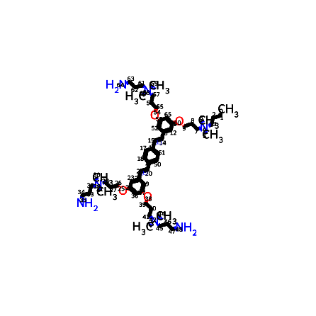 CCCC[N+](C)(C)CCCOc1cc(/C=C/c2ccc(/C=C/c3cc(OCCC[N+](C)(C)CCCN)cc(OCCC[N+](C)(C)CCCN)c3)cc2)cc(OCCC[N+](C)(C)CCCN)c1